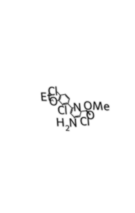 CCOc1c(Cl)ccc(-c2cc(N)c(Cl)c(C(=O)OC)n2)c1Cl